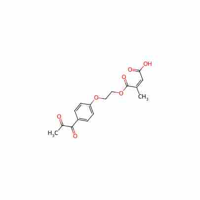 CC(=O)C(=O)c1ccc(OCCOC(=O)/C(C)=C\C(=O)O)cc1